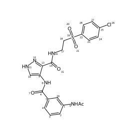 CC(=O)Nc1cccc(C(=O)Nc2c[nH]nc2C(=O)NCCS(=O)(=O)c2ccc(Cl)cc2)c1